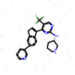 FC(F)(F)c1cnc(N[C@H]2CCCNC2)nc1C1=CCc2cc(-c3cccnc3)ccc21